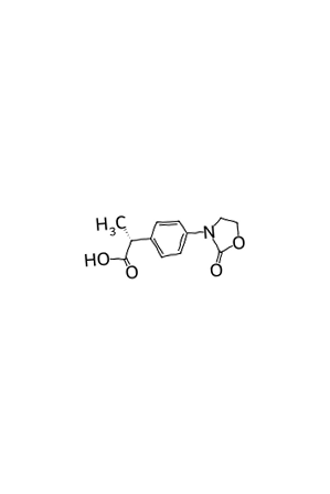 C[C@@H](C(=O)O)c1ccc(N2CCOC2=O)cc1